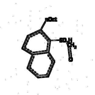 C=O.CCCCCCCCc1ccc2ccccc2c1S(=O)(=O)O